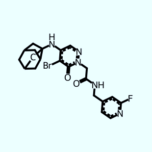 O=C(Cn1ncc(NC23CC4CC(CC2C4)C3)c(Br)c1=O)NCc1ccnc(F)c1